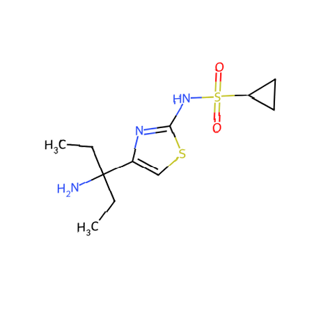 CCC(N)(CC)c1csc(NS(=O)(=O)C2CC2)n1